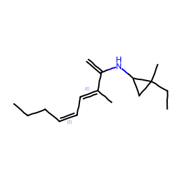 C=C(NC1CC1(C)CC)/C(C)=C/C=C\CCC